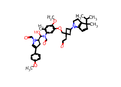 COc1ccc(C2=CN(C=O)C(C(O)N(C=O)c3cc(OCC4(CC=O)CC(N5CCC6=C5C=CC6(C)C(C)C)C4)c(OC)cc3C)C2)cc1